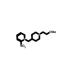 COCCN1CCC(CN2CC=CC=C2[N+](=O)[O-])CC1